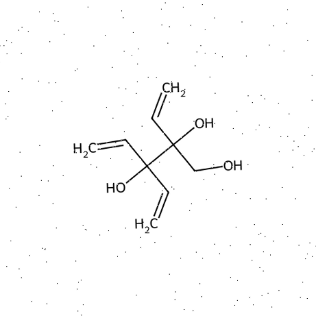 C=CC(O)(C=C)C(O)(C=C)CO